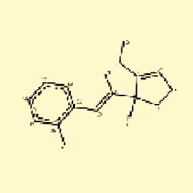 CCC1=CCCC1(F)/C(C)=C/c1ccccc1C